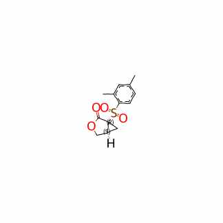 Cc1ccc(S(=O)(=O)[C@]23C[C@H]2COC3=O)c(C)c1